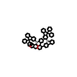 c1ccc(C2(c3ccccc3)c3ccccc3-c3ccc(N(c4ccccc4-c4ccccc4-c4ccc5c6ccccc6n(-c6ccc7c(c6)C(c6ccccc6)(c6ccccc6)c6ccccc6-7)c5c4)c4cccc5ccccc45)cc32)cc1